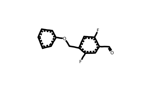 O=Cc1cc(F)c(COc2ccccc2)cc1F